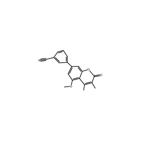 COc1cc(-c2cccc(C#N)c2)cc2oc(=O)c(C)c(C)c12